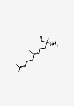 C=CC(C)(N)CC/C=C(\C)CCC=C(C)C